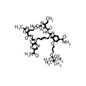 CCc1nc(C)oc1C(=O)/N=c1\sc2nc(C(N)=O)cnc2n1C/C=C/Cn1c(NC(=O)c2oc(C)nc2CC)nc2cc(C(N)=O)cc(OCCCO[Si](C)(C)C(C)(C)C)c21